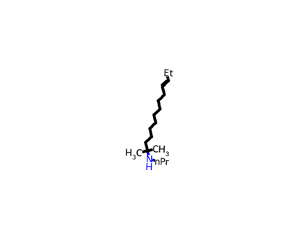 CCC=CCCCCCCCCC(C)(C)NCCC